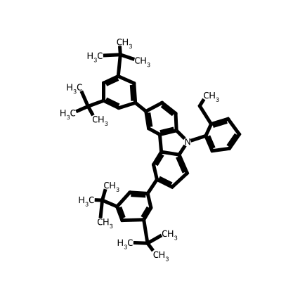 CCc1ccccc1-n1c2ccc(-c3cc(C(C)(C)C)cc(C(C)(C)C)c3)cc2c2cc(-c3cc(C(C)(C)C)cc(C(C)(C)C)c3)ccc21